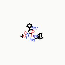 CC(C)(C)OC(=O)N[C@@H](Cc1c[nH]c2ccccc12)C(=O)ONC(=N)CC12CC3CC(CC(C3)C1)C2